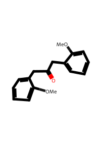 COc1ccccc1CC(=O)Cc1ccccc1OC